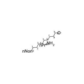 CCCCCCCCCCCCCCCCCC[O].CCCN